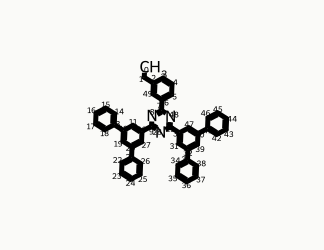 CCc1cccc(-c2nc(-c3cc(-c4ccccc4)cc(-c4ccccc4)c3)nc(-c3cc(-c4ccccc4)cc(-c4ccccc4)c3)n2)c1